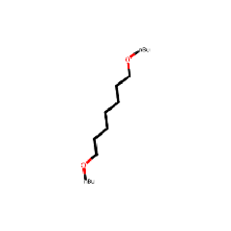 CCCCOCCCCCCCOCCCC